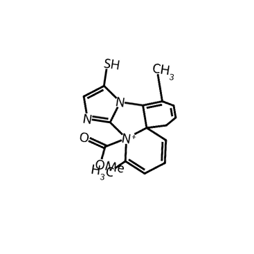 COC(=O)[N+]12C(C)=CC=CC13CC=CC(C)=C3n1c(S)cnc12